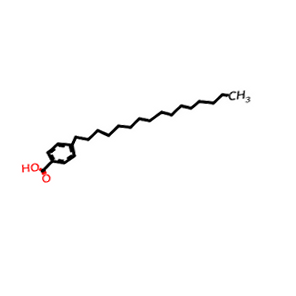 CCCCCCCCCCCCCCCCc1ccc(C(=O)O)cc1